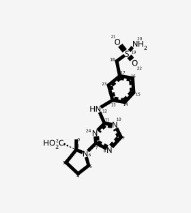 C[C@]1(C(=O)O)CCCN1c1ncnc(Nc2cccc(CS(N)(=O)=O)c2)n1